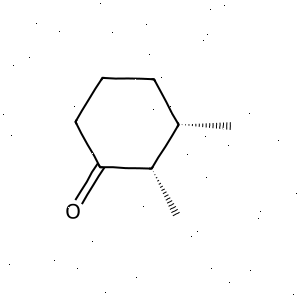 C[C@@H]1C(=O)CCC[C@@H]1C